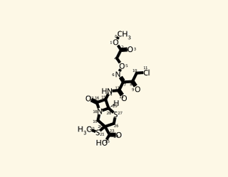 COC(=O)CON=C(C(=O)CCl)C(=O)NC1C(=O)N2CC(SC)(C(=O)O)CS[C@H]12